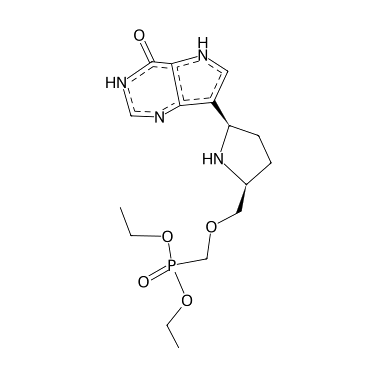 CCOP(=O)(COC[C@@H]1CC[C@H](c2c[nH]c3c(=O)[nH]cnc23)N1)OCC